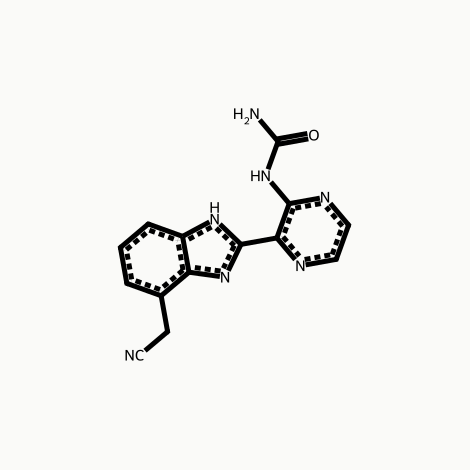 N#CCc1cccc2[nH]c(-c3nccnc3NC(N)=O)nc12